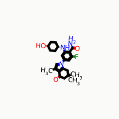 Cc1cn(-c2cc(F)c(C(N)=O)c(N[C@H]3CC[C@H](O)CC3)c2)c2c1C(=O)CC(C)(C)C2